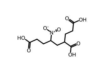 O=C(O)CCC(CC(CCC(=O)O)[N+](=O)[O-])C(=O)O